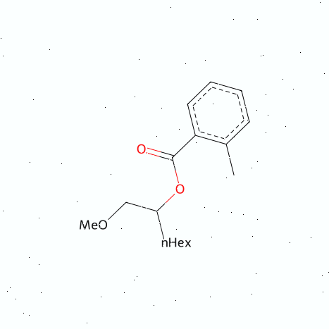 CCCCCCC(COC)OC(=O)c1ccccc1C